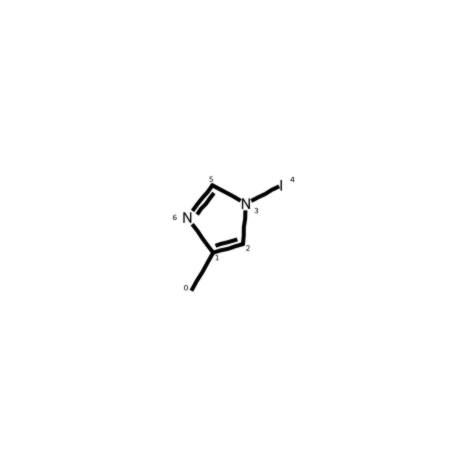 Cc1cn(I)cn1